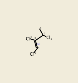 CC(Cl)/C(Cl)=C/Cl